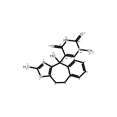 Cc1nc2c(o1)CCc1ccccc1C2(O)c1cn(C)c(=O)[nH]c1=O